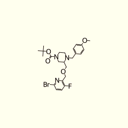 COc1ccc(CN2CCN(C(=O)OC(C)(C)C)CC2COCc2nc(Br)ccc2F)cc1